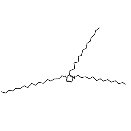 CCCCCCCCCCCCCCCCCn1cc[n+](CCCCCCCCCCCCCC)c1CCCCCCCCCCCCCC